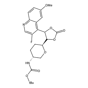 COc1ccc2ncc(F)c(C3OC(=O)OC3[C@@H]3CC[C@@H](NC(=O)OC(C)(C)C)CO3)c2c1